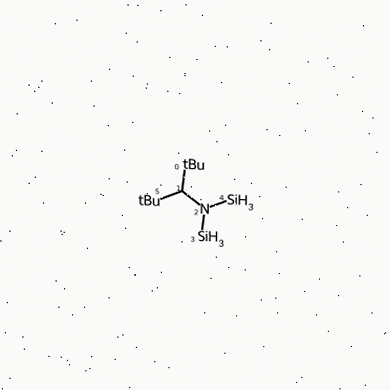 CC(C)(C)C(N([SiH3])[SiH3])C(C)(C)C